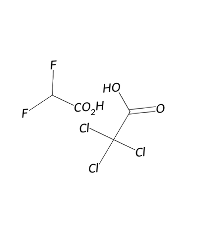 O=C(O)C(Cl)(Cl)Cl.O=C(O)C(F)F